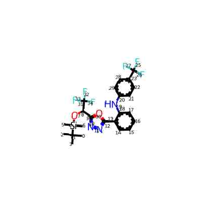 CC(C)(C)[Si](C)(C)OC(c1nnc(-c2ccccc2Nc2ccc(C(F)(F)F)cc2)o1)C(F)(F)F